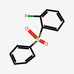 O=S(=O)(c1ccccc1)c1ccccc1F